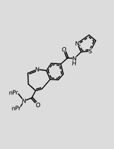 CCCN(CCC)C(=O)C1=Cc2ccc(C(=O)Nc3nccs3)cc2N=CC1